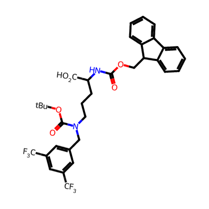 CC(C)(C)OC(=O)N(CCCC(NC(=O)OCC1c2ccccc2-c2ccccc21)C(=O)O)Cc1cc(C(F)(F)F)cc(C(F)(F)F)c1